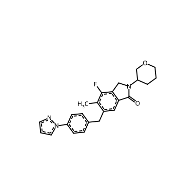 Cc1c(Cc2ccc(-n3cccn3)cc2)cc2c(c1F)CN(C1CCCOC1)C2=O